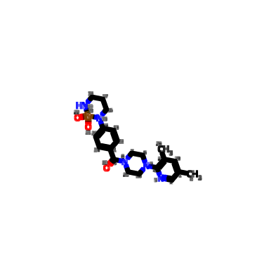 Cc1cnc(N2CCN(C(=O)c3ccc(N4CCCNS4(=O)=O)cc3)CC2)c(C)c1